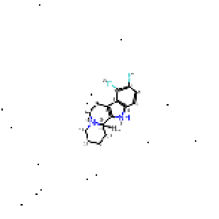 Fc1ccc2[nH]c3c(c2c1F)CCN1CCCC[C@@H]31